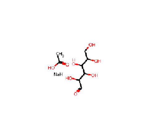 CC(=O)O.O=CC(O)C(O)C(O)C(O)CO.[NaH]